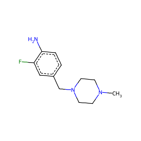 CN1CCN(Cc2ccc(N)c(F)c2)CC1